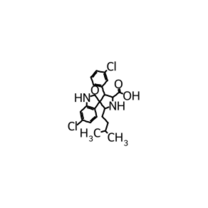 CC(C)CCC1NC(C(=O)O)C(c2cccc(Cl)c2)C12C(=O)Nc1cc(Cl)ccc12